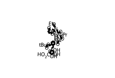 CCOCCN(CCC(=O)N[C@H](C(=O)N[C@@H](C)C(=O)Nc1ccc(COC(=O)C(C)(C)C)c(CC[C@@H]2O[C@H](C(=O)O)[C@@H](O)[C@H](O)[C@H]2O)c1)C(C)C)C(=O)CN1C(=O)C=CC1=O